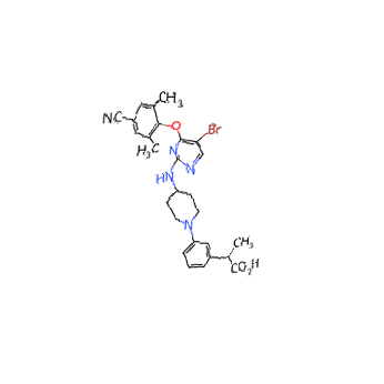 Cc1cc(C#N)cc(C)c1Oc1nc(NC2CCN(c3cccc(C(C)C(=O)O)c3)CC2)ncc1Br